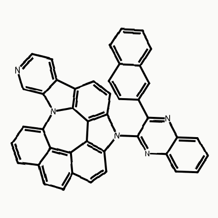 c1ccc2cc(-c3nc4ccccc4nc3-n3c4ccc5ccc6cccc7c6c5c4c4c3ccc3c5ccncc5n7c34)ccc2c1